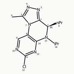 CCC[C@@H]1c2nnc(C)n2-c2cnc(Cl)nc2N1C(C)C